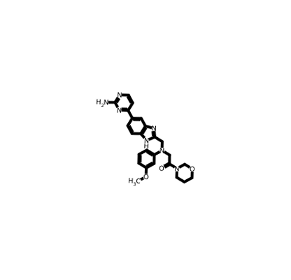 COc1cccc(N(CC(=O)N2CCCOC2)Cc2nc3cc(-c4ccnc(N)n4)ccc3[nH]2)c1